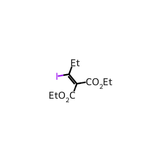 CCOC(=O)C(C(=O)OCC)=C(I)CC